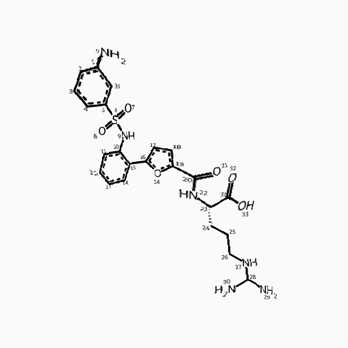 Nc1cccc(S(=O)(=O)Nc2ccccc2-c2ccc(C(=O)N[C@@H](CCCNC(N)N)C(=O)O)o2)c1